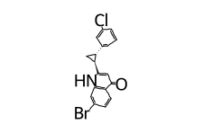 O=c1cc([C@H]2C[C@@H]2c2cccc(Cl)c2)[nH]c2cc(Br)ccc12